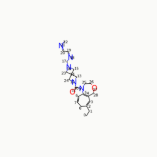 CCC1=CC2=C(C=CC1)N(C(=O)N1CC3(CN(C/N=C\C=N/C)C3)C1)CCOC2